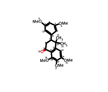 COc1cc(OC)cc(C2CC(=O)c3c(cc(OC)c(OC)c3OC)C2(C)C)c1